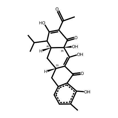 CC(=O)C1=C(O)C(C(C)C)[C@H]2C[C@H]3Cc4ccc(C)c(O)c4C(=O)C3=C(O)[C@@]2(O)C1=O